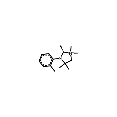 Cc1ccccc1N1[C@@H](C)[N+](C)(C)CC1(C)C